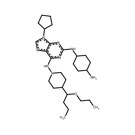 CCCOC(CCC)C1CCN(Nc2nc(NC3CCC(N)CC3)nc3c2ncn3C2CCCC2)CC1